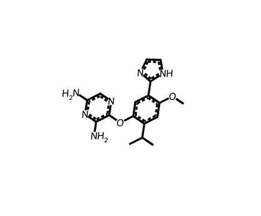 COc1cc(C(C)C)c(Oc2ncc(N)nc2N)cc1-c1ncc[nH]1